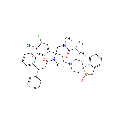 CC(C)C(=O)N(C)C[C@](CCN1CCC2(CC1)c1ccccc1C[S+]2[O-])(c1ccc(Cl)c(Cl)c1)N(C)C(=O)CC(c1ccccc1)c1ccccc1